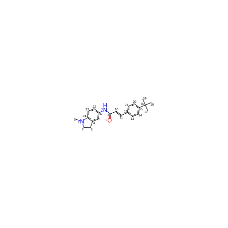 CN1CCc2cc(NC(=O)C=Cc3ccc(C(C)(C)C)cc3)ccc21